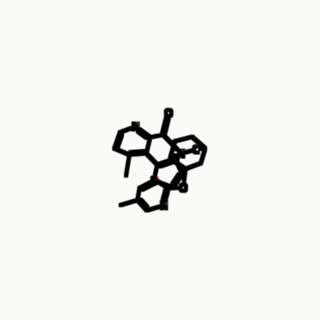 Cc1ccc(OC2CC3CCC2N(C(=O)c2nccc(C)c2-c2nccs2)C3)nc1